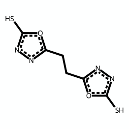 Sc1nnc(CCc2nnc(S)o2)o1